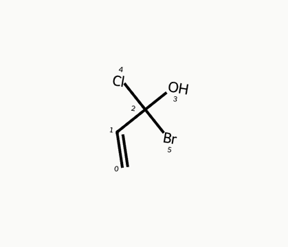 C=CC(O)(Cl)Br